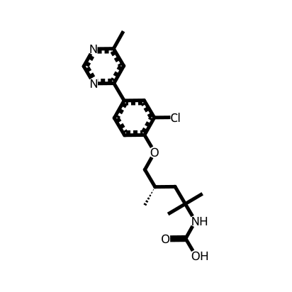 Cc1cc(-c2ccc(OC[C@@H](C)CC(C)(C)NC(=O)O)c(Cl)c2)ncn1